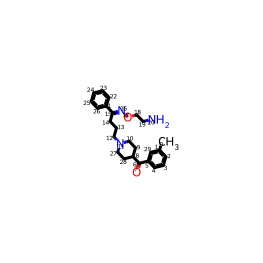 Cc1cccc(C(=O)C2CCN(CCCC(=NOCCN)c3ccccc3)CC2)c1